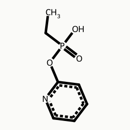 CCP(=O)(O)Oc1ccccn1